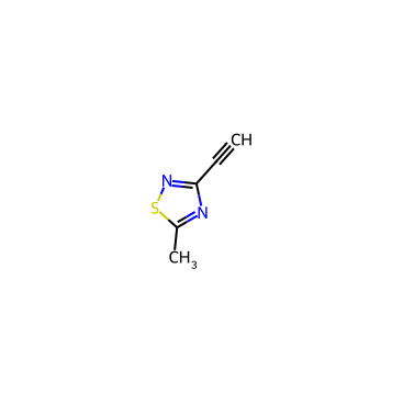 C#Cc1nsc(C)n1